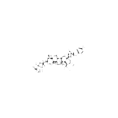 CC(=O)O[C@@H](CNCc1ccc(Cl)cc1)[C@@]12CC[C@]3(C)[C@H](CC[C@@H]4[C@@]5(C)CC[C@H](OC(=O)CC(C)(C)C(=O)O)[C@H](C)[C@@H]5CC[C@]43C)C1=C(C(C)C)C(=O)C2